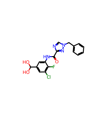 O=C(Nc1cc(C(O)O)cc(Cl)c1F)c1ncn(Cc2ccccc2)n1